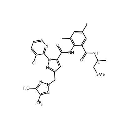 CSC[C@H](C)NC(=O)c1cc(I)cc(C)c1NC(=O)c1cc(Cn2nc(C(F)(F)F)c(C(F)(F)F)n2)nn1-c1ncccc1Cl